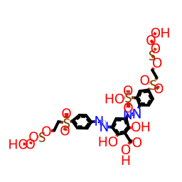 O=C(O)c1c(O)c(/N=N/c2ccc(S(=O)(=O)CCOSOOO)cc2)cc(/N=N/c2ccc(S(=O)(=O)CCOSOOO)cc2S(=O)(=O)O)c1O